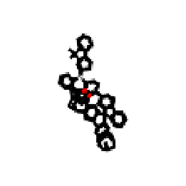 CC1(C)c2ccccc2-c2ccc(N(c3ccc(-c4ccc5c(c4)C4(c6ccccc6-5)c5cc6c(cc5-c5cc7c(cc54)C4CC5CC8CC7CC854)C4CC5CC(C4)CC6C5)cc3)c3ccccc3-c3ccccc3)cc21